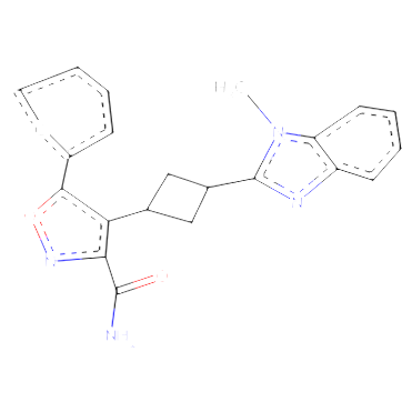 Cn1c(C2CC(c3c(C(N)=O)noc3-c3ccccc3)C2)nc2ccccc21